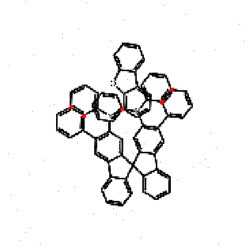 c1ccc(-c2cc3c(cc2N(c2ccccc2)c2ccccc2)C2(c4ccccc4-3)c3ccccc3-c3cc(-c4ccccc4)c(N(c4ccccc4)c4cccc5c4oc4ccccc45)cc32)cc1